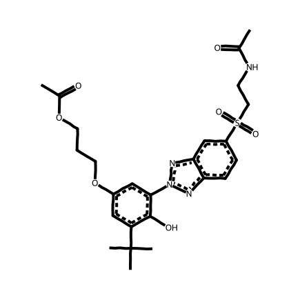 CC(=O)NCCS(=O)(=O)c1ccc2nn(-c3cc(OCCCOC(C)=O)cc(C(C)(C)C)c3O)nc2c1